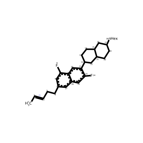 C/C=C/CCc1cc(F)c2cc(C3CCC4CC(CCCCCC)CCC4C3)c(F)cc2c1